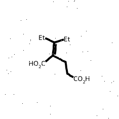 CCC(CC)=C(CCC(=O)O)C(=O)O